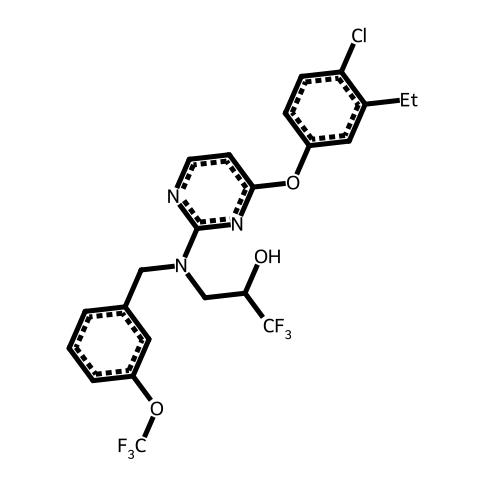 CCc1cc(Oc2ccnc(N(Cc3cccc(OC(F)(F)F)c3)CC(O)C(F)(F)F)n2)ccc1Cl